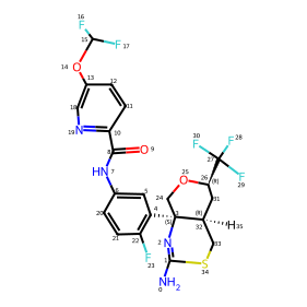 NC1=N[C@@]2(c3cc(NC(=O)c4ccc(OC(F)F)cn4)ccc3F)CO[C@@H](C(F)(F)F)C[C@H]2CS1